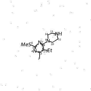 CCc1c(C)nc(SC)nc1N1CCNCC1